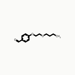 CCCCOCCOc1ccc(C=O)cc1